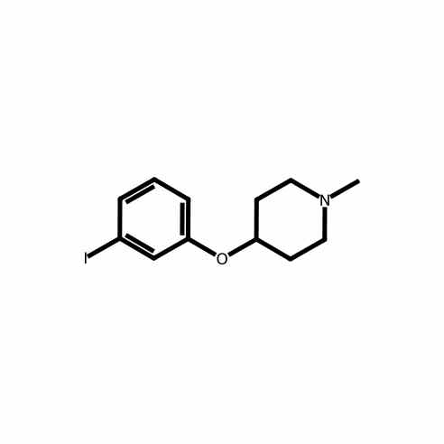 CN1CCC(Oc2cccc(I)c2)CC1